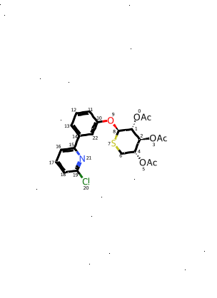 CC(=O)O[C@@H]1[C@@H](OC(C)=O)[C@H](OC(C)=O)CS[C@H]1Oc1cccc(-c2cccc(Cl)n2)c1